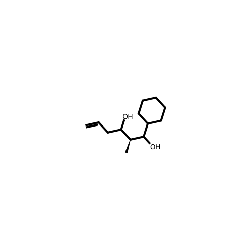 C=CCC(O)[C@H](C)C(O)C1CCCCC1